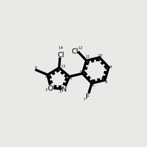 Cc1onc(-c2c(F)cccc2Cl)c1Cl